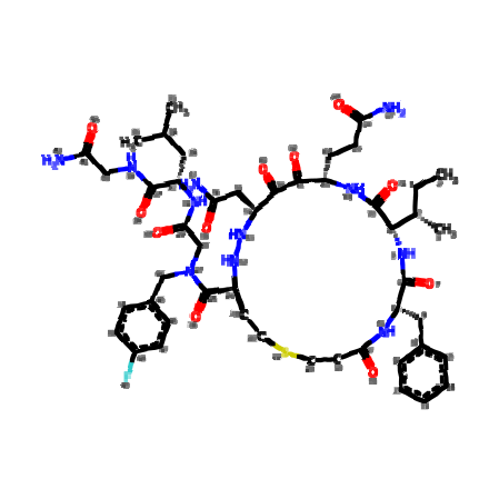 CC[C@H](C)[C@@H]1NC(=O)[C@H](Cc2ccccc2)NC(=O)CCSCC[C@@H](C(=O)N(CC(=O)N[C@@H](CC(C)C)C(=O)NCC(N)=O)Cc2ccc(F)cc2)NN[C@@H](CC(N)=O)C(=O)C(=O)[C@H](CCC(N)=O)NC1=O